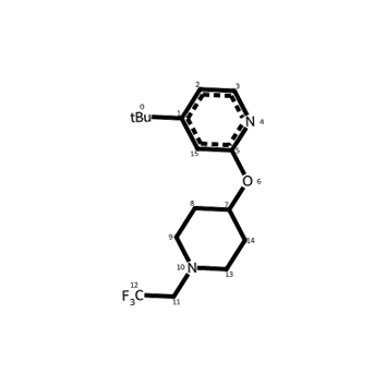 CC(C)(C)c1ccnc(OC2CCN(CC(F)(F)F)CC2)c1